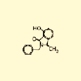 C=C1c2cccc(O)c2C(=O)N1Cc1ccccc1